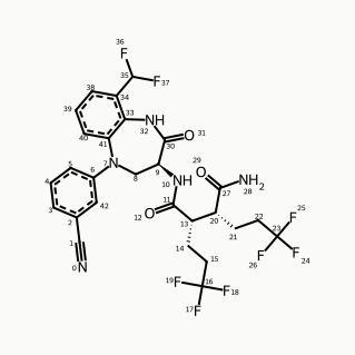 N#Cc1cccc(N2C[C@H](NC(=O)[C@@H](CCC(F)(F)F)[C@@H](CCC(F)(F)F)C(N)=O)C(=O)Nc3c(C(F)F)cccc32)c1